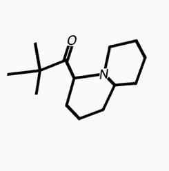 CC(C)(C)C(=O)C1CCCC2CCCCN21